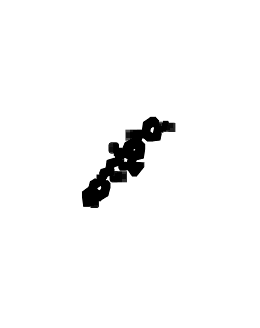 CC(=O)N1CCC(Nc2ccc3c(c2)C(=O)N(CC(O)CN2CCc4sccc4C2)CC32CC2)CC1